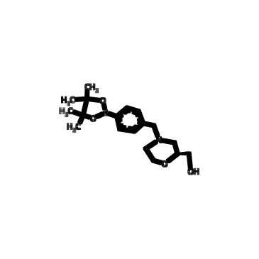 CC1(C)OB(c2ccc(CN3CCO[C@H](CO)C3)cc2)OC1(C)C